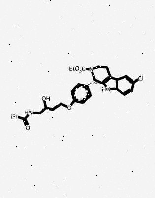 CCOC(=O)N1CCC2=C(NC3C=CC(Cl)=CC23)[C@@H]1c1ccc(OCCC(O)CNC(=O)C(C)C)cc1